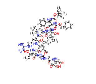 CC[C@H](C)[C@H](NC(=O)[C@@H](CCCNC(=N)N)NC(=O)[C@H](CC(C)C)NC(=O)[C@@H](NC(=O)[C@@H](NC(=O)OCc1ccccc1)[C@H](NC(=O)OC(C)(C)C)c1ccccc1)[C@H](O)C(C)C)C(=O)N[C@H](C(=O)NCC(=O)NCC(=O)N[C@@H](CO)C(=O)O)[C@H](C)O